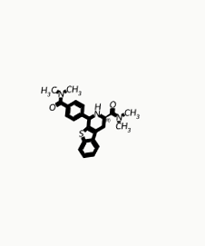 CN(C)C(=O)c1ccc(C2N[C@@H](C(=O)N(C)C)Cc3c2sc2ccccc32)cc1